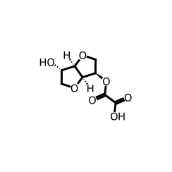 O=C(O)C(=O)O[C@@H]1CO[C@H]2[C@@H]1OC[C@@H]2O